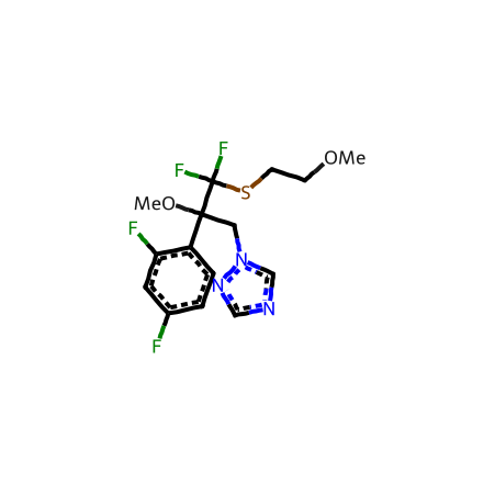 COCCSC(F)(F)C(Cn1cncn1)(OC)c1ccc(F)cc1F